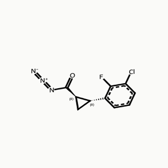 [N-]=[N+]=NC(=O)[C@@H]1C[C@H]1c1cccc(Cl)c1F